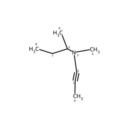 CC#CN(C)C(C)CC